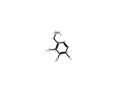 NCc1ccc(I)c(F)c1F